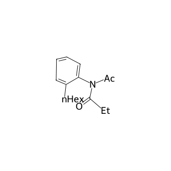 [CH2]CCCCCc1ccccc1N(C(C)=O)C(=O)CC